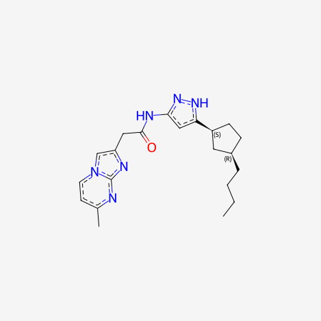 CCCC[C@@H]1CC[C@H](c2cc(NC(=O)Cc3cn4ccc(C)nc4n3)n[nH]2)C1